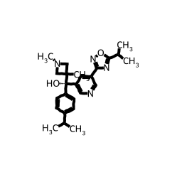 CC(C)c1ccc([C@](O)(c2cncc(-c3noc(C(C)C)n3)c2)C2(C)CN(C)C2)cc1